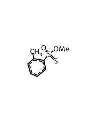 COS(=O)(=S)c1ccccc1C